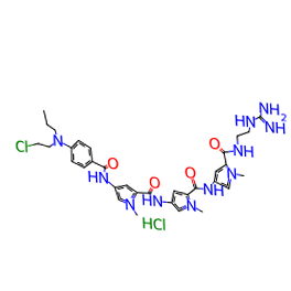 CCCN(CCCl)c1ccc(C(=O)Nc2cc(C(=O)Nc3cc(C(=O)Nc4cc(C(=O)NCCNC(=N)N)n(C)c4)n(C)c3)n(C)c2)cc1.Cl